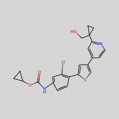 O=C(Nc1ccc(-c2cc(-c3ccnc(C4(CO)CC4)c3)cs2)c(Cl)c1)OC1CC1